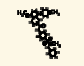 COc1ccc(N2CCN(C)CC2)c2c1CCN(C(=O)Cc1ccc(S(=O)(=O)N(C)Cc3ccccc3)cc1)C2